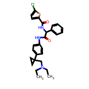 CCN(CC)CC1(c2ccc(NC(=O)C(NC(=O)c3ccc(Cl)s3)c3ccccc3)cc2)CC1